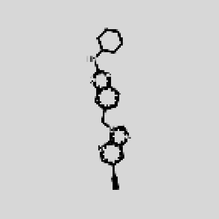 C#Cc1cnc2c(c1)ncn2Cc1ccc2nc(NC3CCCCC3)sc2c1